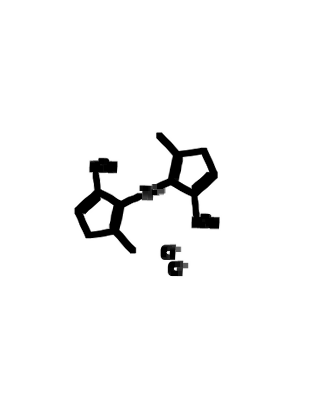 CCCCC1=CCC(C)=[C]1[Ti+2][C]1=C(C)CC=C1CCCC.[Cl-].[Cl-]